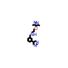 Cc1nn(C)c(C)c1OCCCNCc1cccc(-c2cncnc2)c1